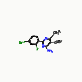 COc1c(N)nc(-c2ccc(Br)cc2F)nc1C(=O)O